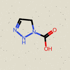 O=C(O)N1CC=NN1